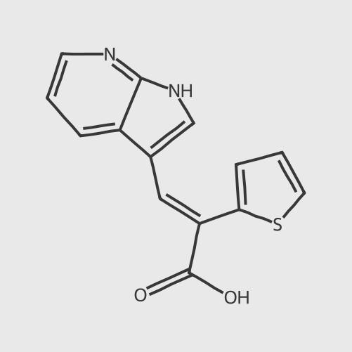 O=C(O)/C(=C/c1c[nH]c2ncccc12)c1cccs1